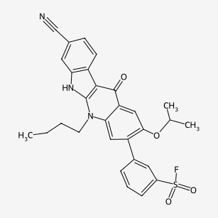 CCCCn1c2cc(-c3cccc(S(=O)(=O)F)c3)c(OC(C)C)cc2c(=O)c2c3ccc(C#N)cc3[nH]c21